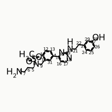 CS(=O)(=O)N(CCCN)Cc1cccc(-c2ccnc(NCCc3cccc(O)c3)n2)c1